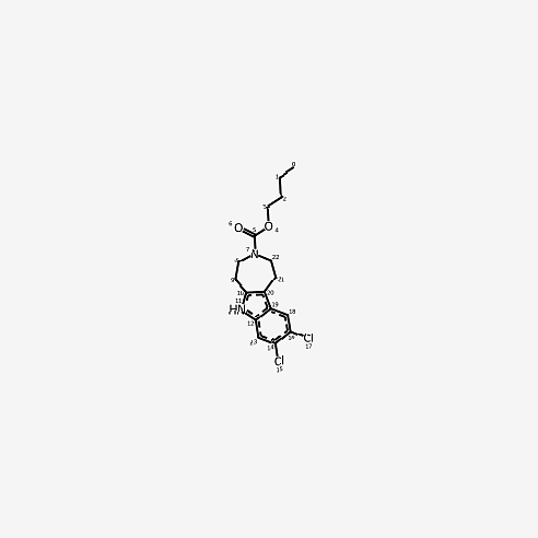 CCCCOC(=O)N1CCc2[nH]c3cc(Cl)c(Cl)cc3c2CC1